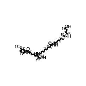 C[C@H](CCC(=O)O)NC(=O)OCCCCCNC(=O)CCCCCCC(=O)NC(CCCCNC(=O)c1cncc([131I])c1)C(=O)O